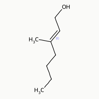 CCCC/C(C)=C/CO